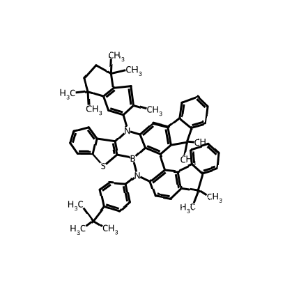 Cc1cc2c(cc1N1c3cc4c(c5c3B(c3sc6ccccc6c31)N(c1ccc(C(C)(C)C)cc1)c1ccc3c(c1-5)-c1ccccc1C3(C)C)C(C)(C)c1ccccc1-4)C(C)(C)CCC2(C)C